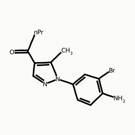 CCCC(=O)c1cnn(-c2ccc(N)c(Br)c2)c1C